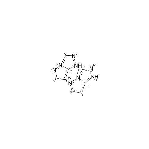 c1cc2[nH]ncn2n1.c1cc2[nH]ncn2n1